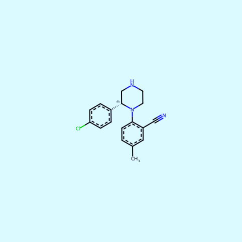 Cc1ccc(N2CCNC[C@H]2c2ccc(Cl)cc2)c(C#N)c1